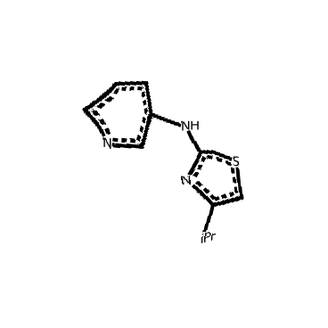 CC(C)c1csc(Nc2cccnc2)n1